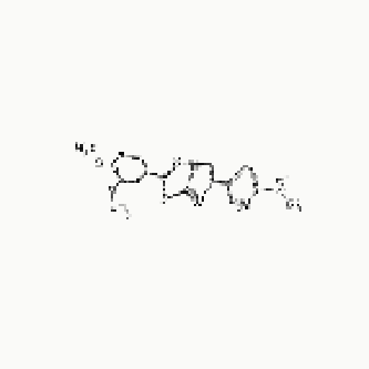 COc1ccc(-c2nn3cc(-c4cnc([S+](C)[O-])nc4)nc3s2)cc1OC